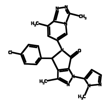 Cc1nn(-c2ccnn2C)c2c1C(c1ccc(Cl)cc1)N(c1cc(C)c3nnc(C)n3c1)C2=O